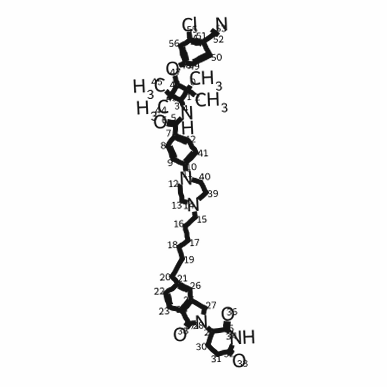 CC1(C)C(NC(=O)c2ccc(N3CCN(CCCCCCc4ccc5c(c4)CN(C4CCC(=O)NC4=O)C5=O)CC3)cc2)C(C)(C)C1Oc1ccc(C#N)c(Cl)c1